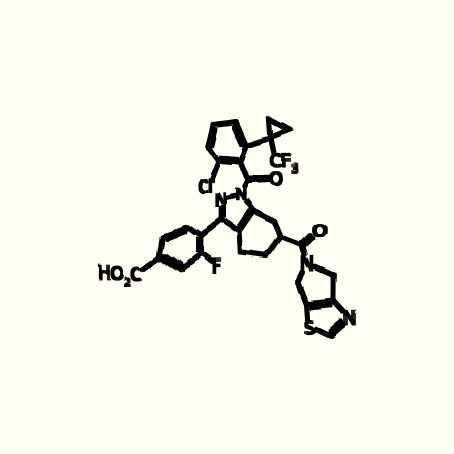 O=C(O)c1ccc(-c2nn(C(=O)c3c(Cl)cccc3C3(C(F)(F)F)CC3)c3c2CCC(C(=O)N2Cc4ncsc4C2)C3)c(F)c1